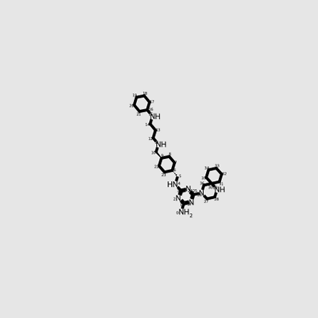 Nc1nc(NC[C@H]2CC[C@H](CNCCCNC3CCCCC3)CC2)nc(N2CCNC3(CCCCC3)C2)n1